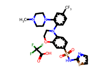 CN1CCN(c2cc(C(F)(F)F)ccc2N2CCOc3cc(S(=O)(=O)Nc4nccs4)ccc32)CC1.O=C(O)C(F)(F)F